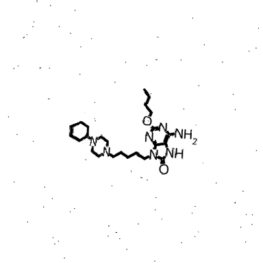 CCCCOc1nc(N)c2[nH]c(=O)n(CCCCCN3CCN(C4CCCCC4)CC3)c2n1